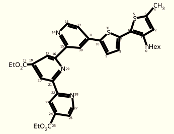 CCCCCCc1cc(C)sc1-c1ccc(-c2ccnc(-c3cc(C(=O)OCC)cc(-c4cc(C(=O)OCC)ccn4)n3)c2)s1